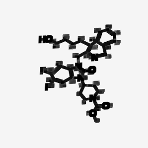 COC(=O)N1CCC(n2c(=O)n(Cc3ncc4ccccc4c3CCCCO)c3cc(F)c(F)cc32)CC1